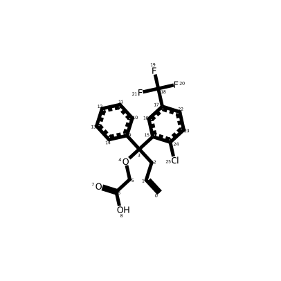 C=CCC(OCC(=O)O)(c1ccccc1)c1cc(C(F)(F)F)ccc1Cl